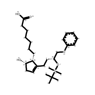 CC(C)(C)[Si](C)(C)O[C@H](CCC1=CC[C@H](O)[C@@H]1CCCCCCC(=O)O)COc1ccccc1